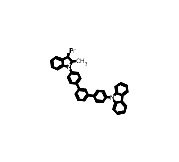 CC(C)C1c2ccccc2N(c2ccc(-c3cccc(-c4ccc(-n5c6ccccc6c6ccccc65)cc4)c3)cc2)C1C